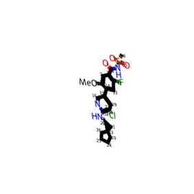 COc1cc(C(=O)NS(C)(=O)=O)c(F)cc1-c1cnc(N[C@@H]2CC23CCCC3)c(Cl)c1